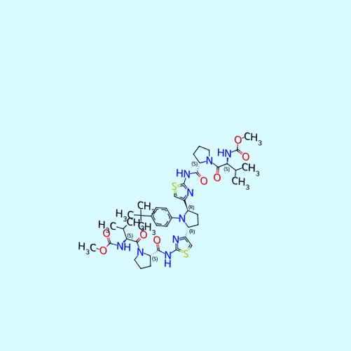 COC(=O)N[C@H](C(=O)N1CCC[C@H]1C(=O)Nc1nc([C@H]2CC[C@H](c3csc(NC(=O)[C@@H]4CCCN4C(=O)[C@@H](NC(=O)OC)C(C)C)n3)N2c2ccc(C(C)(C)C)cc2)cs1)C(C)C